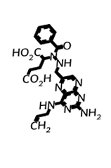 C=CCNc1nc(N)nc2ncc(CNN(C(=O)c3ccccc3)C(CCC(=O)O)C(=O)O)nc12